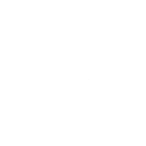 CCC(C(=O)O)C1=CCCCCCCCCCC1